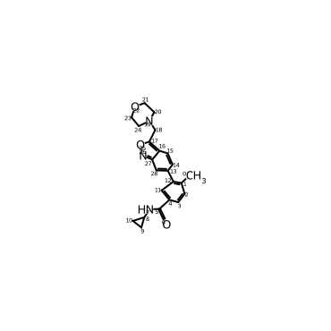 Cc1ccc(C(=O)NC2CC2)cc1-c1ccc2c(CN3CCOCC3)onc2c1